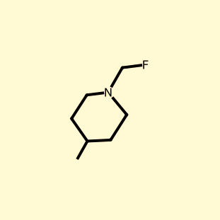 CC1CCN(CF)CC1